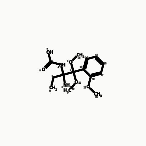 CCC(N)(NC(=O)O)C(OC)(OC)c1ccccc1OC